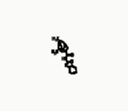 CC12CC3CC(C)(C1)CC(C(=O)Nc1nc4ccccc4o1)(C3)C2